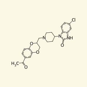 CC(=O)c1ccc2c(c1)OCC(CN1CCC(n3c(=O)[nH]c4cc(Cl)ccc43)CC1)O2